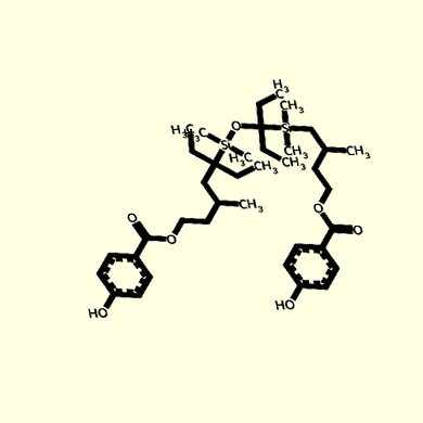 CCC(CC)(O[Si](C)(C)C(CC)(CC)CC(C)CCOC(=O)c1ccc(O)cc1)[Si](C)(C)CC(C)CCOC(=O)c1ccc(O)cc1